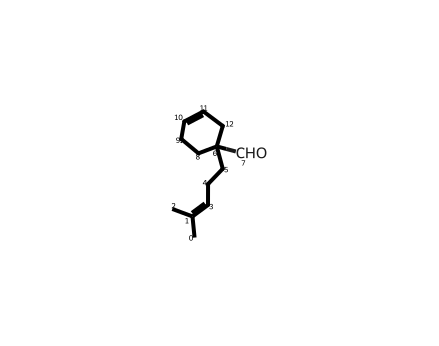 CC(C)=CCCC1(C=O)C[CH]C=CC1